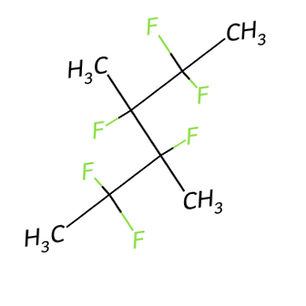 CC(F)(F)C(C)(F)C(C)(F)C(C)(F)F